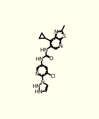 Cc1nc2c(C3CC3)c(NC(=O)Nc3cnc(N4C=CNN4)c(Cl)c3)cnc2s1